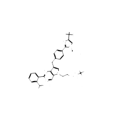 CC(C)c1ccccc1-c1ncc2c(n1)c(Cc1ccc(-c3nc(C(F)(F)F)cn3C)cc1)cn2CCO[Si](C)(C)C(C)(C)C